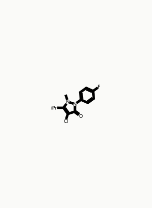 CC(C)c1c(Cl)c(=O)n(-c2ccc(F)cc2)n1C